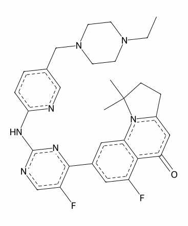 CCN1CCN(Cc2ccc(Nc3ncc(F)c(-c4cc(F)c5c(=O)cc6n(c5c4)C(C)(C)CC6)n3)nc2)CC1